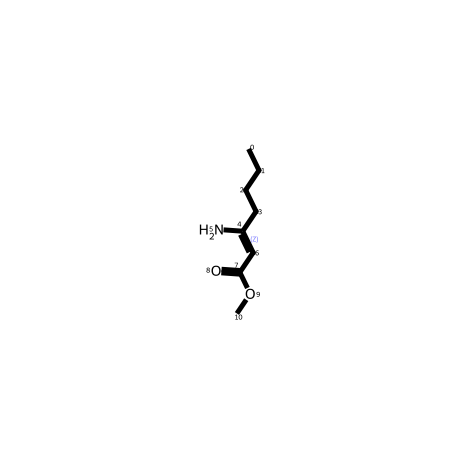 CCCC/C(N)=C/C(=O)OC